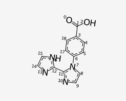 O=C(O)c1ccc(-n2ccnc2-c2ncc[nH]2)cc1